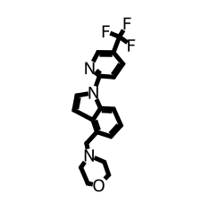 FC(F)(F)c1ccc(-n2ccc3c(CN4CCOCC4)cccc32)nc1